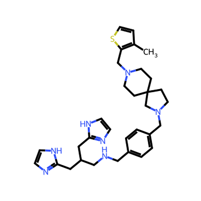 Cc1ccsc1CN1CCC2(CC1)CCN(Cc1ccc(CNCC(Cc3ncc[nH]3)Cc3ncc[nH]3)cc1)C2